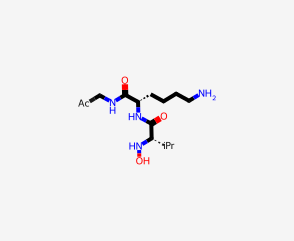 CC(=O)CNC(=O)[C@H](CCCCN)NC(=O)[C@@H](NO)C(C)C